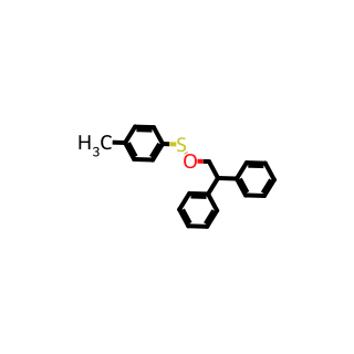 Cc1ccc(SOCC(c2ccccc2)c2ccccc2)cc1